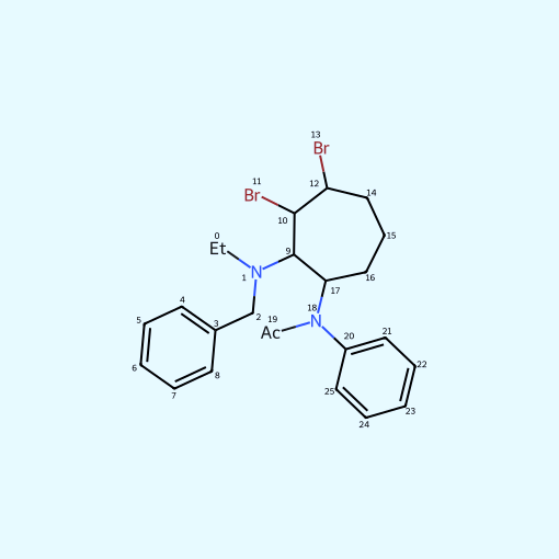 CCN(Cc1ccccc1)C1C(Br)C(Br)CCCC1N(C(C)=O)c1ccccc1